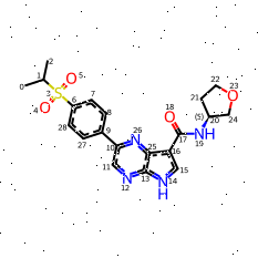 CC(C)S(=O)(=O)c1ccc(-c2cnc3[nH]cc(C(=O)N[C@H]4CCOC4)c3n2)cc1